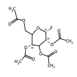 CC(=O)OCC1O[C@H](F)[C@H](OC(C)=O)C(OC(C)=O)[C@@H]1OC(C)=O